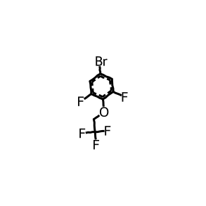 Fc1cc(Br)cc(F)c1OCC(F)(F)F